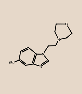 CC(C)(C)c1ccc2c(c1)ncn2CCN1CCOCC1